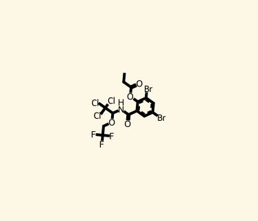 CCC(=O)Oc1c(Br)cc(Br)cc1C(=O)NC(OCC(F)(F)F)C(Cl)(Cl)Cl